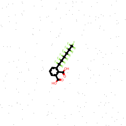 O=C(O)c1cccc(C(F)(F)C(F)(F)C(F)(F)C(F)(F)C(F)(F)C(F)(F)F)c1C(=O)O